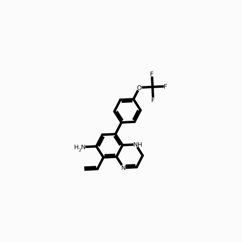 C=Cc1c(N)cc(-c2ccc(OC(F)(F)F)cc2)c2c1N=CCN2